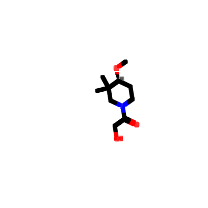 CO[C@@H]1CCN(C(=O)CO)CC1(C)C